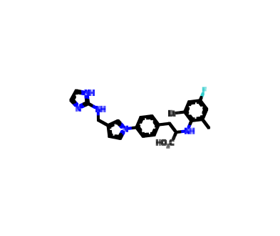 CCc1cc(F)cc(C)c1NC(Cc1ccc(-n2ccc(CNc3ncc[nH]3)c2)cc1)C(=O)O